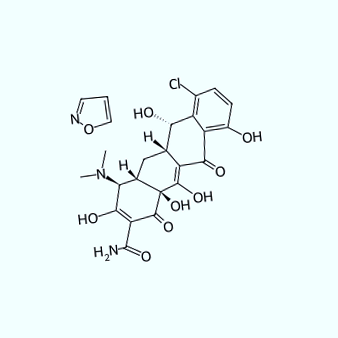 CN(C)[C@@H]1C(O)=C(C(N)=O)C(=O)[C@@]2(O)C(O)=C3C(=O)c4c(O)ccc(Cl)c4[C@@H](O)[C@H]3C[C@@H]12.c1cnoc1